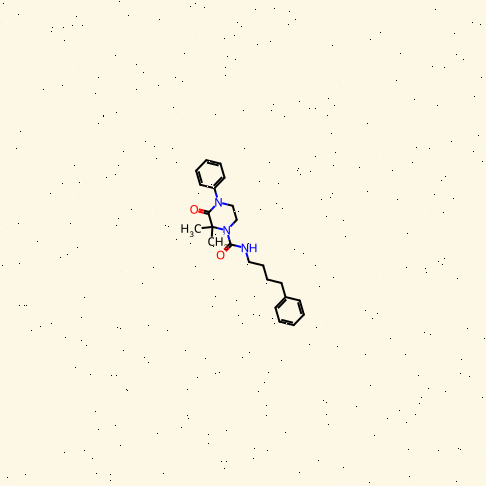 CC1(C)C(=O)N(c2ccccc2)CCN1C(=O)NCCCCc1ccccc1